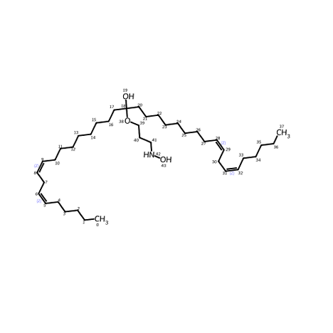 CCCCC/C=C\C/C=C\CCCCCCCCC(O)(CCCCCCCC/C=C\C/C=C\CCCCC)OCCCNO